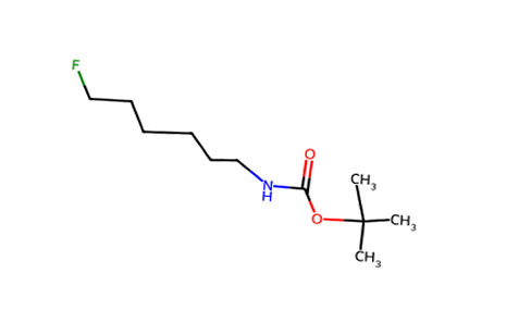 CC(C)(C)OC(=O)NCCCCCCF